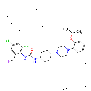 CC(C)Oc1ccccc1N1CCN([C@H]2CC[C@@H](NC(=O)Nc3c(Cl)cc(Cl)cc3CI)CC2)CC1